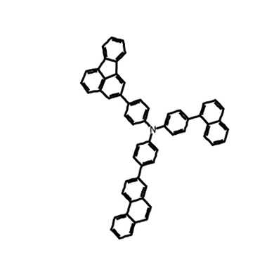 c1ccc2c(c1)-c1cccc3cc(-c4ccc(N(c5ccc(-c6ccc7c(ccc8ccccc87)c6)cc5)c5ccc(-c6cccc7ccccc67)cc5)cc4)cc-2c13